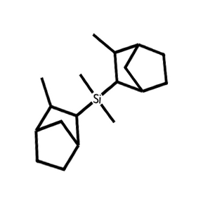 CC1C2CCC(C2)C1[Si](C)(C)C1C2CCC(C2)C1C